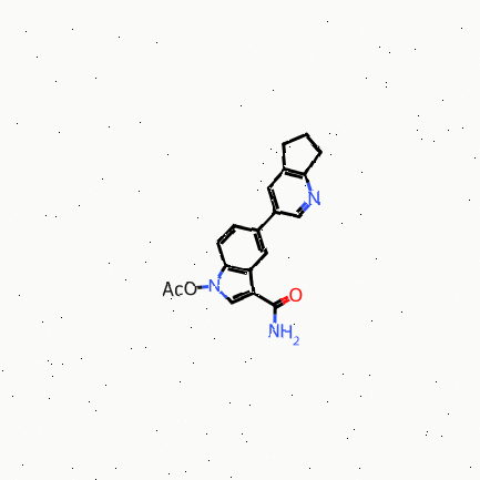 CC(=O)On1cc(C(N)=O)c2cc(-c3cnc4c(c3)CCC4)ccc21